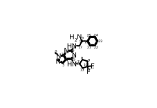 Cn1ncc2c(N[C@H]3CCC(F)(F)C3)nc(NCC(N)c3ccccc3)nc21